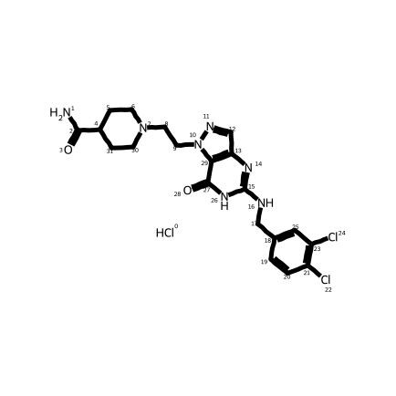 Cl.NC(=O)C1CCN(CCn2ncc3nc(NCc4ccc(Cl)c(Cl)c4)[nH]c(=O)c32)CC1